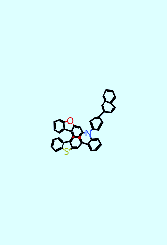 c1ccc(N(c2ccc(-c3ccc4ccccc4c3)cc2)c2ccc3c(c2)oc2ccccc23)c(-c2ccc3c(c2)sc2ccccc23)c1